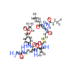 CC(C)CCC(=O)N1CN(C(=O)CCSCC(=O)N[C@H](C(=O)N[C@@H](CCCNC(N)=O)C(=O)Nc2ccc(COC(=O)C(C)(C)C)cc2)C(C)C)CN(C(=O)CCC(C)(C)C)C1